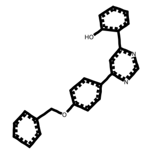 Oc1c[c]ccc1-c1cc(-c2ccc(OCc3ccccc3)cc2)ncn1